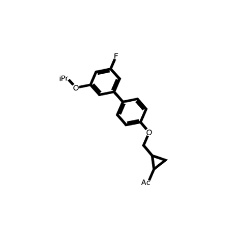 CC(=O)C1CC1COc1ccc(-c2cc(F)cc(OC(C)C)c2)cc1